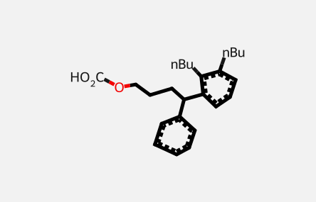 CCCCc1cccc(C(CCCOC(=O)O)c2ccccc2)c1CCCC